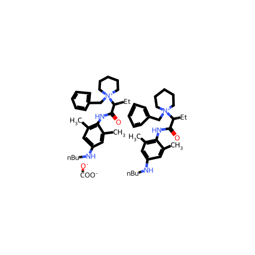 CCCCNc1cc(C)c(NC(=O)C(CC)[N+]2(Cc3ccccc3)CCCCC2)c(C)c1.CCCCNc1cc(C)c(NC(=O)C(CC)[N+]2(Cc3ccccc3)CCCCC2)c(C)c1.O=C([O-])[O-]